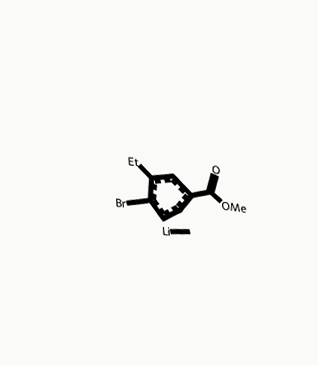 CCc1cc(C(=O)OC)ccc1Br.[Li][CH3]